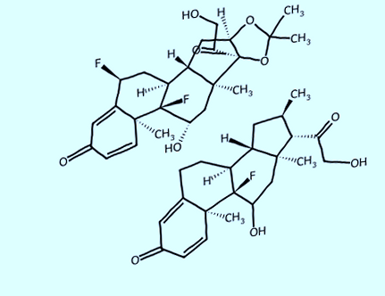 CC1(C)O[C@@H]2C[C@H]3[C@@H]4C[C@H](F)C5=CC(=O)C=C[C@]5(C)[C@@]4(F)[C@@H](O)C[C@]3(C)[C@]2(C(=O)CO)O1.C[C@@H]1C[C@H]2[C@@H]3CCC4=CC(=O)C=C[C@]4(C)[C@@]3(F)C(O)C[C@]2(C)[C@H]1C(=O)CO